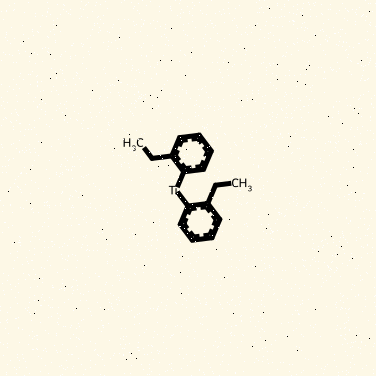 CCc1cccc[c]1[Ti][c]1ccccc1CC